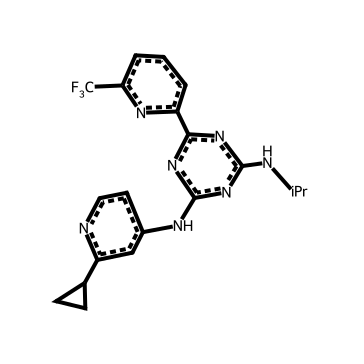 CC(C)Nc1nc(Nc2ccnc(C3CC3)c2)nc(-c2cccc(C(F)(F)F)n2)n1